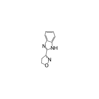 c1ccc2[nH]c(C3=NOCC3)nc2c1